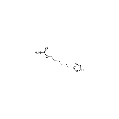 NC(=O)OCCCCCCc1c[nH]cn1